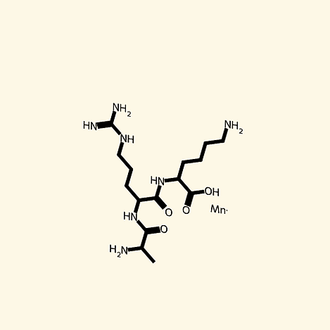 CC(N)C(=O)NC(CCCNC(=N)N)C(=O)NC(CCCCN)C(=O)O.[Mn]